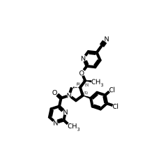 Cc1nccc(C(=O)N2C[C@H]([C@H](C)Oc3ccc(C#N)cn3)[C@@H](c3ccc(Cl)c(Cl)c3)C2)n1